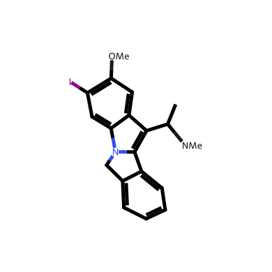 CNC(C)c1c2n(c3cc(I)c(OC)cc13)Cc1ccccc1-2